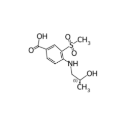 C[C@H](O)CNc1ccc(C(=O)O)cc1S(C)(=O)=O